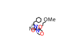 CNC[C@H](CC1CCCCC1)N(C)C(=O)N1CCOCC1OCCCOC